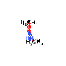 CC(C)(C)CCOCCOCCOCCOCCn1cc(CCCCNC(=S)Nc2ccc(C(C)(C)C)cc2)nn1